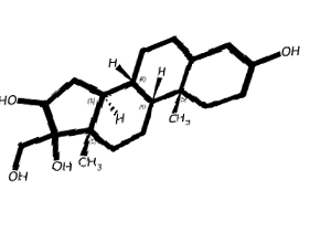 C[C@]12CCC(O)CC1CC[C@@H]1[C@H]2CC[C@@]2(C)[C@H]1CC(O)C2(O)CO